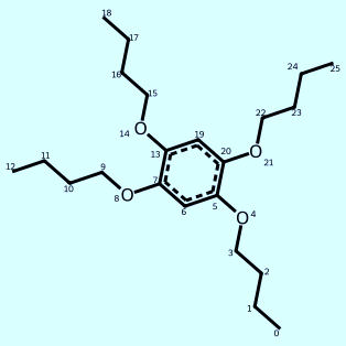 CCCCOc1cc(OCCCC)c(OCCCC)cc1OCCCC